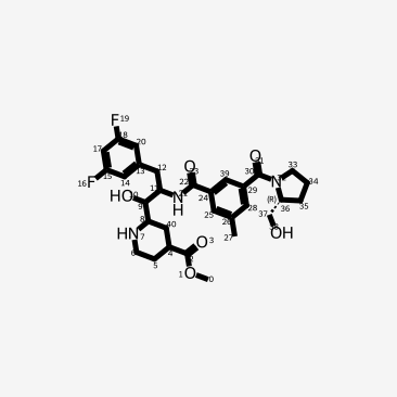 COC(=O)C1CCNC(C(O)C(Cc2cc(F)cc(F)c2)NC(=O)c2cc(C)cc(C(=O)N3CCC[C@@H]3CO)c2)C1